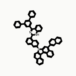 C1=CC2C=CC(c3cc4c(c5ccccc35)c3c5ccccc5ccc3n4-c3ccc4c(C5N=C(c6cc(-c7ccccc7)cc(-c7ccccc7)c6)c6ccccc6N5)cccc4c3)=CC2C=C1